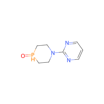 O=[PH]1CCN(c2ncccn2)CC1